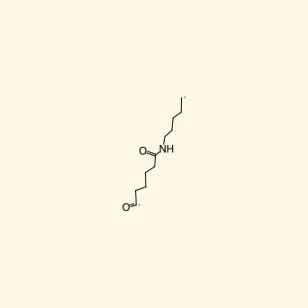 [CH2]CCCCNC(=O)CCCC[C]=O